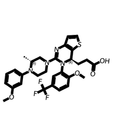 COc1cccc(N2CCN(C3=Nc4ccsc4[C@@H](CCC(=O)O)N3c3cc(C(F)(F)F)ccc3OC)C[C@H]2C)c1